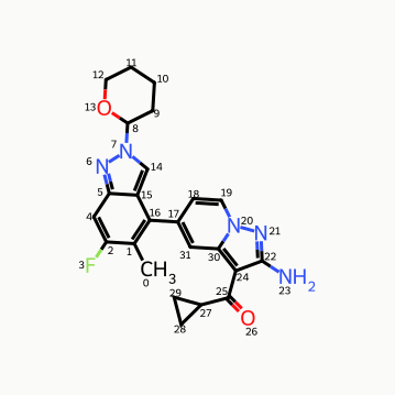 Cc1c(F)cc2nn(C3CCCCO3)cc2c1-c1ccn2nc(N)c(C(=O)C3CC3)c2c1